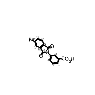 O=C(O)c1cccc(N2C(=O)c3ccc(F)cc3C2=O)c1